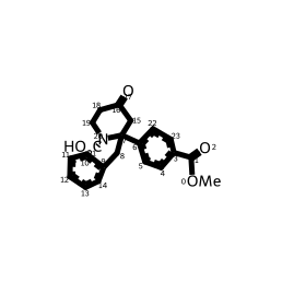 COC(=O)c1ccc(C2(Cc3ccccc3)CC(=O)CCN2C(=O)O)cc1